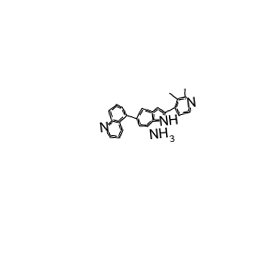 Cc1nccc(-c2cc3cc(-c4cccc5ncccc45)ccc3[nH]2)c1C.N